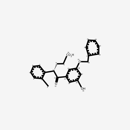 Cc1ccccc1[C@H](CCC(=O)O)C(=O)c1cc(O)cc(OCc2ccccc2)c1